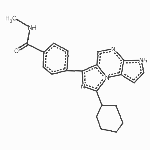 CNC(=O)c1ccc(-c2nc(C3CCCCC3)n3c2cnc2[nH]ccc23)cc1